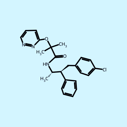 C[C@H](NC(=O)C(C)(C)Oc1cccnn1)[C@@H](Cc1ccc(Cl)cc1)c1ccccc1